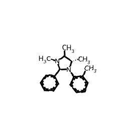 Cc1ccccc1N1C(c2ccccc2)N(C)C(C)[C@@H]1C